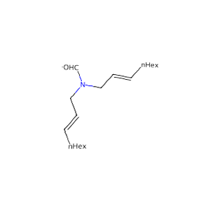 CCCCCC/C=C/CN([C]=O)C/C=C/CCCCCC